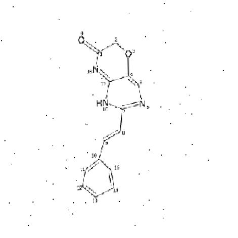 O=C1COC2=CN=C(C=Cc3ccccc3)NC2=N1